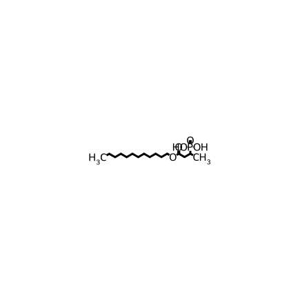 CCCCCCCCCCCCOC(=O)CC(C)P(=O)(O)O